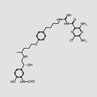 CC(CCCOc1ccc(CCCCNC(=N)NC(=O)c2nc(Cl)c(N)nc2N)cc1)NC[C@H](O)c1ccc(O)c(NC=O)c1